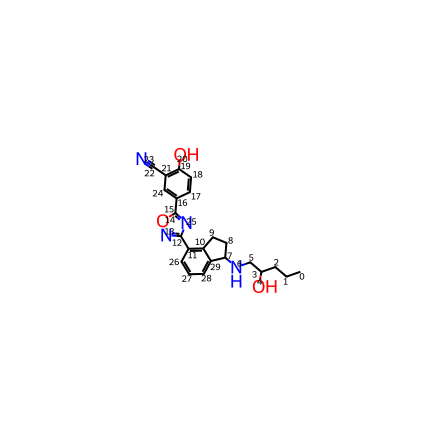 CCCC(O)CNC1CCc2c(-c3noc(-c4ccc(O)c(C#N)c4)n3)cccc21